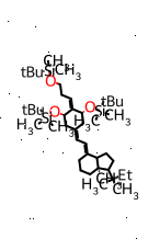 CCC(C)(C)C1CCC2/C(=C/C=C3C[C@@H](O[Si](C)(C)C(C)(C)C)C(=CCCO[Si](C)(C)C(C)(C)C)[C@H](O[Si](C)(C)C(C)(C)C)C3)CCC[C@@]21C